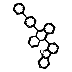 C1=CC2C(c3ccc(-c4ccccc4)cc3)=c3ccccc3=C(c3cccc4c3oc3ccccc34)C2C=C1